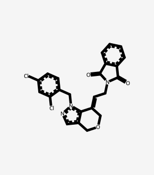 O=C1c2ccccc2C(=O)N1CC=C1COCc2cnn(Cc3ccc(Cl)cc3Cl)c21